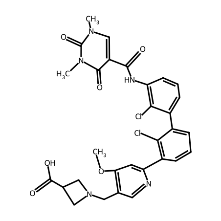 COc1cc(-c2cccc(-c3cccc(NC(=O)c4cn(C)c(=O)n(C)c4=O)c3Cl)c2Cl)ncc1CN1CC(C(=O)O)C1